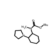 CN(C(=O)OC(C)(C)C)C1CCCCC1N1CCCC1